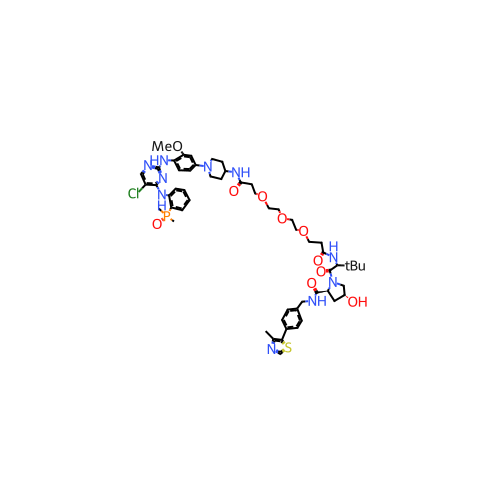 COc1cc(N2CCC(NC(=O)CCOCCOCCOCCC(=O)NC(C(=O)N3C[C@H](O)C[C@H]3C(=O)NCc3ccc(-c4scnc4C)cc3)C(C)(C)C)CC2)ccc1Nc1ncc(Cl)c(Nc2ccccc2P(C)(C)=O)n1